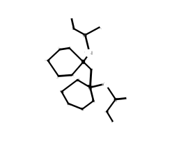 CCC(C)NC1(CC2(NC(C)CC)CCCCC2)CCCCC1